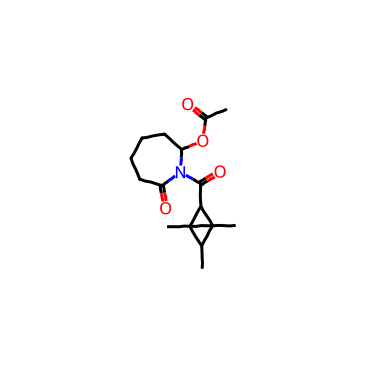 CC(=O)OC1CCCCC(=O)N1C(=O)C1C2(C)C(C)C12C